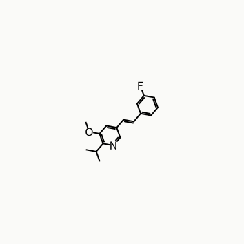 COc1cc(C=Cc2cccc(F)c2)cnc1C(C)C